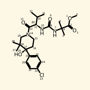 COC(=O)C(C)(C)NC(=O)N[C@@H](C(=O)N1CC[C@](O)(c2ccc(Cl)cc2)C(C)(C)C1)C(C)C